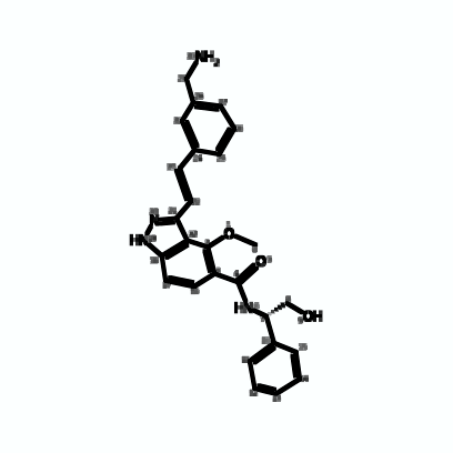 COc1c(C(=O)N[C@H](CO)c2ccccc2)ccc2[nH]nc(/C=C/c3cccc(CN)c3)c12